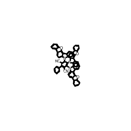 N#Cc1c(-c2ccccc2)c(C#N)c(-n2c3ccccc3c3c4oc5ccccc5c4ccc32)c(-n2c3ccccc3c3c4oc5ccccc5c4ccc32)c1-n1c2ccccc2c2c3oc4ccccc4c3ccc21